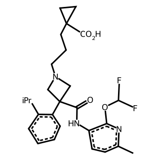 Cc1ccc(NC(=O)C2(c3ccccc3C(C)C)CN(CCCC3(C(=O)O)CC3)C2)c(OC(F)F)n1